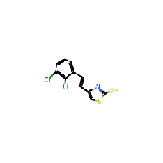 Sc1nc(C=Cc2cccc(Cl)c2Cl)cs1